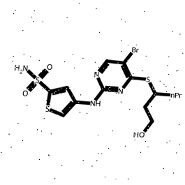 CCCC(CCO)Sc1nc(Nc2csc(S(N)(=O)=O)c2)ncc1Br